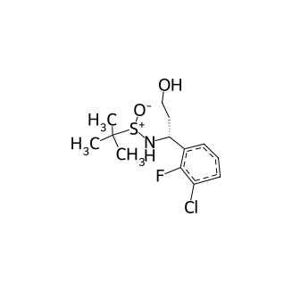 CC(C)(C)[S+]([O-])N[C@H](CCO)c1cccc(Cl)c1F